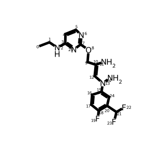 CCNc1ccnc(OC/C(N)=C/N(N)c2ccc(F)c(C(F)F)c2)n1